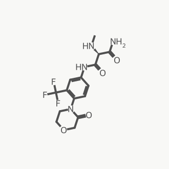 CN[C@@H](C(N)=O)C(=O)Nc1ccc(N2CCOCC2=O)c(C(F)(F)F)c1